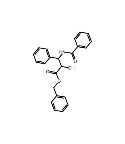 O=C(NC(c1ccccc1)C(O)C(=O)OCc1ccccc1)c1ccccc1